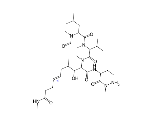 CCC(NC(=O)C(C(O)C(C)C/C=C/CCC(=O)NC)N(C)C(=O)C(C(C)C)N(C)C(=O)C(CC(C)C)N(C)C=O)C(=O)N(C)N